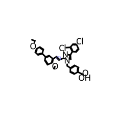 CCOc1ccc(-c2ccc(OC)c(/C=C/c3nc(-c4ccc(Cl)cc4Cl)cn3Cc3ccc(C(=O)O)cc3)c2)cc1